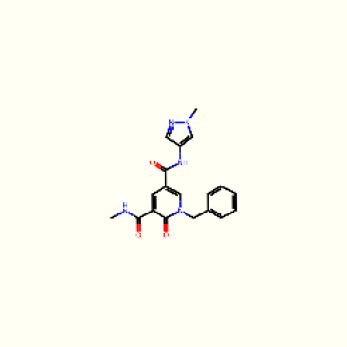 CNC(=O)c1cc(C(=O)Nc2cnn(C)c2)cn(Cc2ccccc2)c1=O